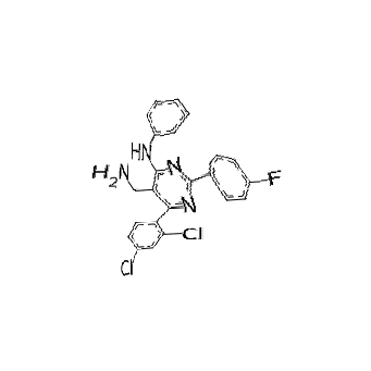 NCc1c(Nc2ccccc2)nc(-c2ccc(F)cc2)nc1-c1ccc(Cl)cc1Cl